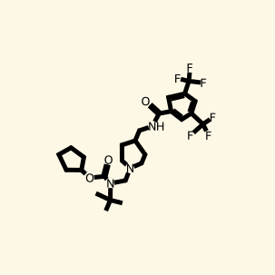 CC(C)(C)N(CN1CCC(CNC(=O)c2cc(C(F)(F)F)cc(C(F)(F)F)c2)CC1)C(=O)OC1CCCC1